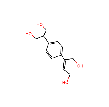 OC/C=C(\CO)c1ccc(C(CO)CO)cc1